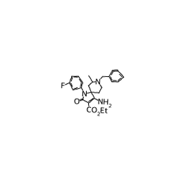 CCOC(=O)C1=C(N)C2(CCN(Cc3ccccc3)C(C)C2)N(c2cccc(F)c2)C1=O